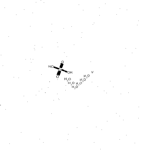 O.O.O.O.O.O.O=S(=O)(O)O.[V]